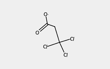 [O]C(=O)CC(Cl)(Cl)Cl